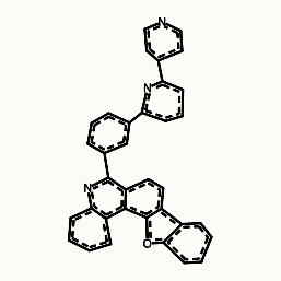 c1cc(-c2cccc(-c3ccncc3)n2)cc(-c2nc3ccccc3c3c2ccc2c4ccccc4oc23)c1